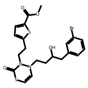 COC(=O)c1ccc(CCN2C(=O)SC=CN2CCC(O)Cc2cccc(Br)c2)s1